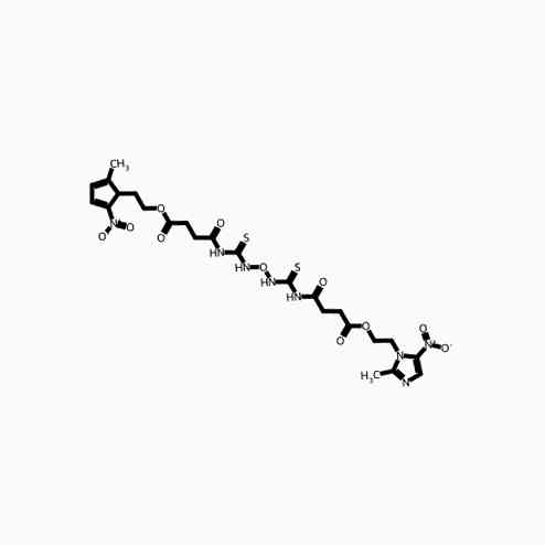 CC1=CC=C([N+](=O)[O-])C1CCOC(=O)CCC(=O)NC(=S)NONC(=S)NC(=O)CCC(=O)OCCn1c([N+](=O)[O-])cnc1C